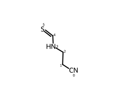 N#CCCNC=S